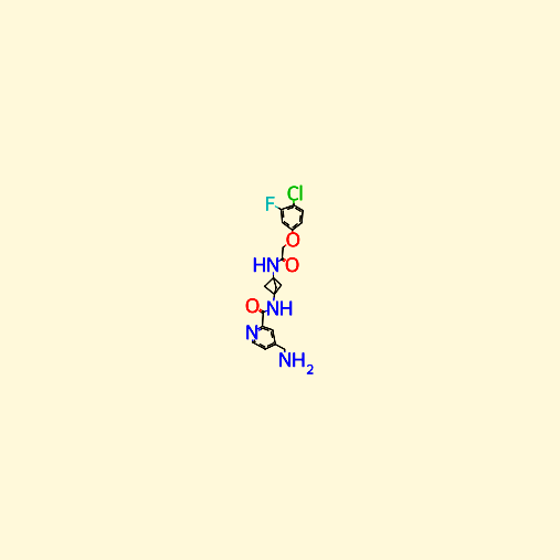 NCc1ccnc(C(=O)NC23CC(NC(=O)COc4ccc(Cl)c(F)c4)(C2)C3)c1